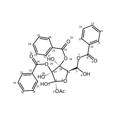 CC(=O)O[C@@]1(O)O[C@H](C(O)OC(=O)c2ccccc2)[C@](O)(OC(=O)c2ccccc2)[C@]1(O)OC(=O)c1ccccc1